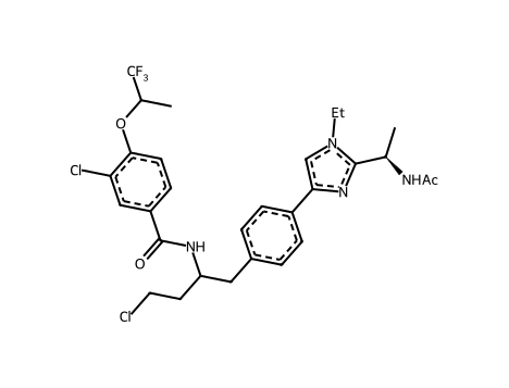 CCn1cc(-c2ccc(CC(CCCl)NC(=O)c3ccc(OC(C)C(F)(F)F)c(Cl)c3)cc2)nc1[C@@H](C)NC(C)=O